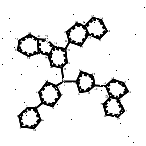 c1ccc(-c2ccc(N(c3ccc(-c4cccc5ccccc45)cc3)c3cc(-c4ccc5ccccc5c4)c4oc5ccccc5c4c3)cc2)cc1